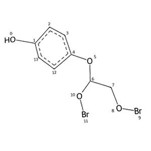 Oc1ccc(OC(COBr)OBr)cc1